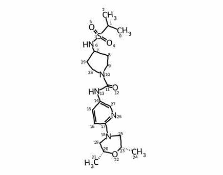 CC(C)S(=O)(=O)NC1CCN(C(=O)Nc2ccc(N3C[C@@H](C)O[C@@H](C)C3)nc2)CC1